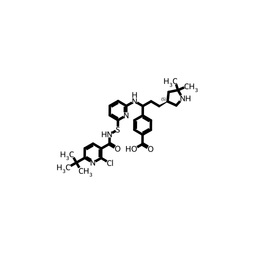 CC1(C)C[C@H](CCC(Nc2cccc(SNC(=O)c3ccc(C(C)(C)C)nc3Cl)n2)c2ccc(C(=O)O)cc2)CN1